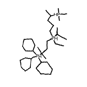 CC[PH](CCCC(C)[PH](C)(C)C)(CCC(C)(C)[PH](C1CCCCC1)(C1CCCCC1)C1CCCCC1)C(C)C